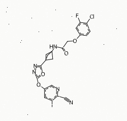 Cc1cc(Oc2nnc(C34CC(NC(=O)COc5ccc(Cl)c(F)c5)(C3)C4)o2)cnc1C#N